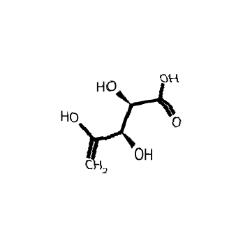 C=C(O)[C@H](O)[C@@H](O)C(=O)O